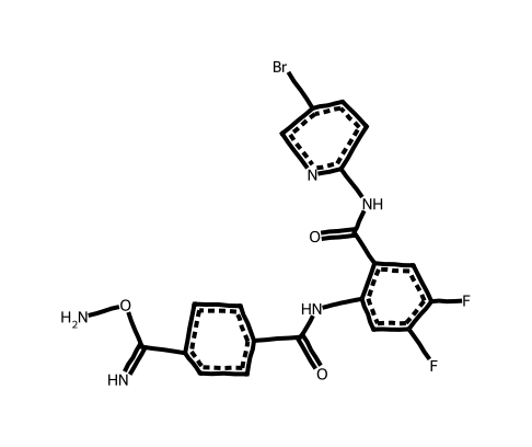 N=C(ON)c1ccc(C(=O)Nc2cc(F)c(F)cc2C(=O)Nc2ccc(Br)cn2)cc1